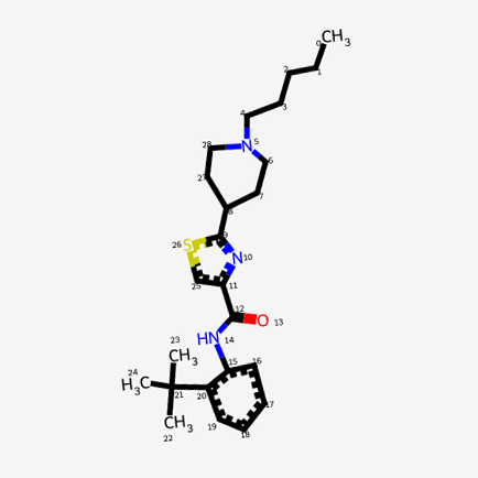 CCCCCN1CCC(c2nc(C(=O)Nc3ccccc3C(C)(C)C)cs2)CC1